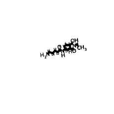 CCN1C(O)C2=CCC(NC(=O)CCCCN)C=C2C1O